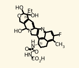 CC[C@]1(O)C2=C(COC1O)C(O)N1Cc3c(nc4cc(F)c(C)c5c4c3[C@@H](NS(=O)(=O)NC(=O)O)CC5)C1=C2